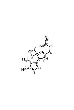 Cn1c(S)nnc1C(O)C1(c2cccc(Br)c2)COC1